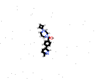 Cc1ccc(-c2ccc(C(=O)N3CCCN(C4CCC4)CC3)cc2)cn1